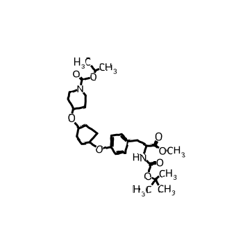 COC(=O)C(Cc1ccc(OC2CCC(OC3CCN(C(=O)OC(C)C)CC3)CC2)cc1)NC(=O)OC(C)(C)C